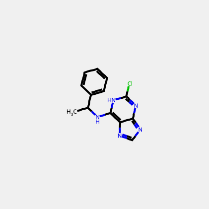 CC(Nc1[nH]c(Cl)nc2ncnc1-2)c1ccccc1